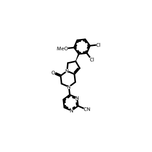 COc1ccc(Cl)c(Cl)c1[C@H]1C=C2CN(c3ccnc(C#N)n3)CC(=O)N2C1